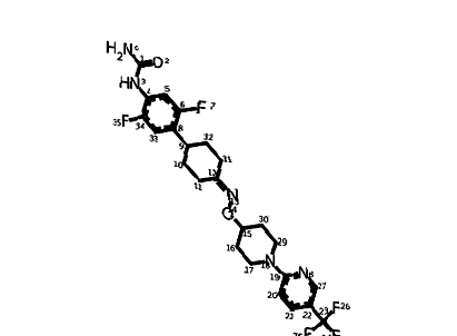 NC(=O)Nc1cc(F)c(C2CCC(=NOC3CCN(c4ccc(C(F)(F)F)cn4)CC3)CC2)cc1F